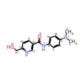 CN(C)c1ccc(NC(=O)c2ccc(CO)nc2)cc1